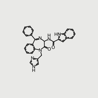 O=C(NC1N=C(c2ccccc2)c2ccccc2N(Cc2c[nH]cn2)C1=O)c1cc2ccccc2[nH]1